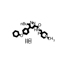 CCCCc1nnc(C(=O)NCC2(F)CCN(C)CC2)cc1-c1ccc(OC2CCCCC2)cc1.Cl.Cl